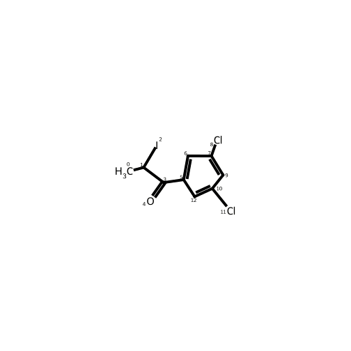 CC(I)C(=O)c1cc(Cl)cc(Cl)c1